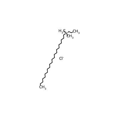 CCCCCCCCCCCCCCCCCCCCCC[N+](C)(C)CCC.[Cl-]